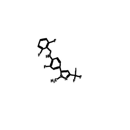 Cn1nc(C(F)(F)I)cc1-c1ccc(NCc2c(F)cccc2F)c(F)c1